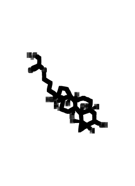 CCC(=O)OCCC[C@]1(O)CC[C@H]2[C@@H]3CC[C@H]4CC(O)[C@@H]5C[C@@H]5[C@]4(C)[C@H]3CC[C@@]21C